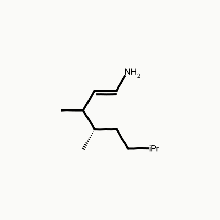 CC(C)CC[C@H](C)C(C)/C=C/N